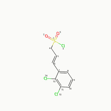 O=S(=O)(Cl)CC=Cc1cccc(Cl)c1Cl